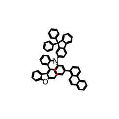 c1ccc(C2(c3ccccc3)c3ccccc3-c3ccc(N(c4cccc(-c5cccc6c5ccc5ccccc56)c4)c4ccccc4-c4cccc5oc6ccccc6c45)cc32)cc1